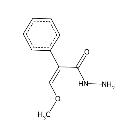 COC=C(C(=O)NN)c1ccccc1